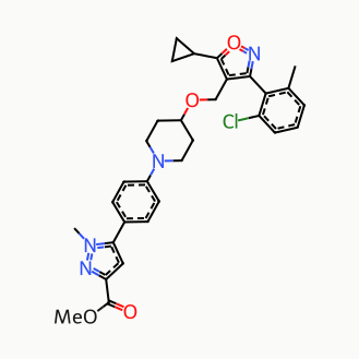 COC(=O)c1cc(-c2ccc(N3CCC(OCc4c(-c5c(C)cccc5Cl)noc4C4CC4)CC3)cc2)n(C)n1